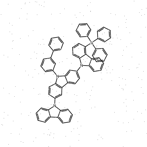 c1ccc(-c2cccc(-n3c4ccc(-n5c6ccccc6c6ccccc65)cc4c4ccc(-n5c6ccccc6c6c([Si](c7ccccc7)(c7ccccc7)c7ccccc7)cccc65)cc43)c2)cc1